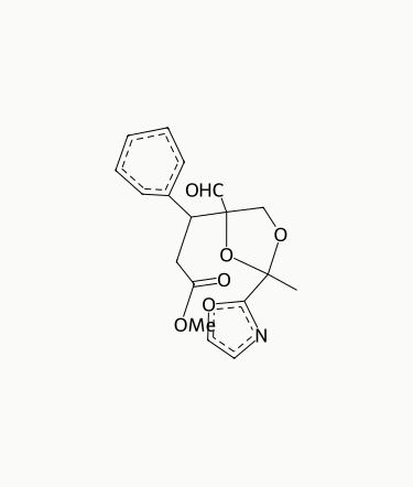 COC(=O)CC(c1ccccc1)C1(C=O)COC(C)(c2ncco2)O1